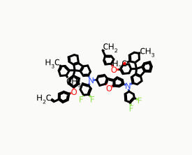 C=CC1=CCC(OC2=CCC(C3(C4CC(C)CC=C4C)C4=C(CCC(N(c5ccc6c7c(oc6c5)CC(N(C5=CCC(F)C(F)=C5)C5=CC6=C(CC5)C5=C(C=CCC5)C6(C5=CC(C)=CCC5C)c5ccc(Oc6ccc(C=C)cc6)cc5)C=C7)C5C=CC(F)=C(F)C5)=C4)c4ccccc43)CC2)C=C1